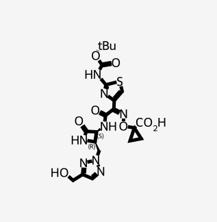 CC(C)(C)OC(=O)Nc1nc(C(=NOC2(C(=O)O)CC2)C(=O)N[C@@H]2C(=O)N[C@@H]2Cn2ncc(CO)n2)cs1